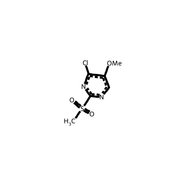 COc1cnc(S(C)(=O)=O)nc1Cl